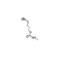 CC(C)(C)SCCCOC(N)=O